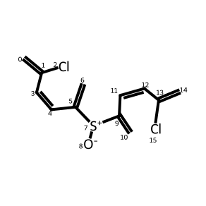 C=C(Cl)/C=C\C(=C)[S+]([O-])C(=C)/C=C\C(=C)Cl